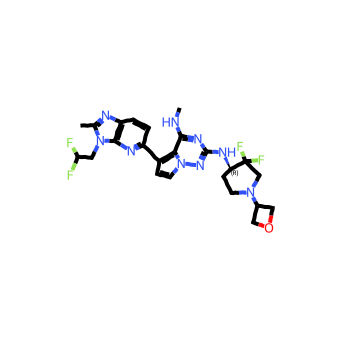 CNc1nc(N[C@@H]2CCN(C3COC3)CC2(F)F)nn2ccc(-c3ccc4nc(C)n(CC(F)F)c4n3)c12